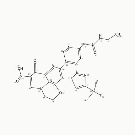 CCNC(=O)Nc1cc(-c2nc(C(F)(F)F)cs2)c(-c2cc3c4c(c2)c(=O)c(C(=O)O)cn4CCO3)cn1